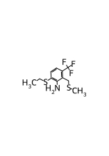 CCSc1ccc(C(F)(F)F)c(CSC)c1N